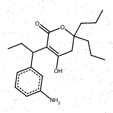 CCCC1(CCC)CC(O)=C(C(CC)c2cccc(N)c2)C(=O)O1